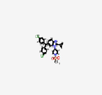 O=S(=O)(N1CCC(n2c(C3CC3)nc3ccc(C(c4ccc(Cl)cc4)c4ccc(Cl)cc4)cc32)CC1)C(F)(F)F